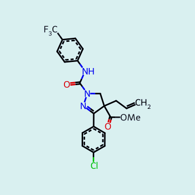 C=CCC1(C(=O)OC)CN(C(=O)Nc2ccc(C(F)(F)F)cc2)N=C1c1ccc(Cl)cc1